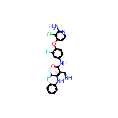 N=C/C(C(=O)Nc1ccc(Oc2ccnc(N)c2Cl)c(F)c1)=C(\Nc1ccccc1)C(F)F